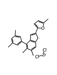 Cc1cc(C)cc(-c2c(C)c(C)cc3c2C=C(c2ccc(C)o2)[CH]3)c1.[Cl][Zr][Cl]